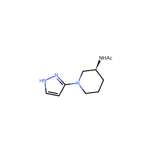 CC(=O)N[C@H]1CCCN(c2cc[nH]n2)C1